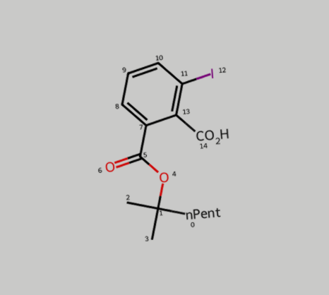 CCCCCC(C)(C)OC(=O)c1cccc(I)c1C(=O)O